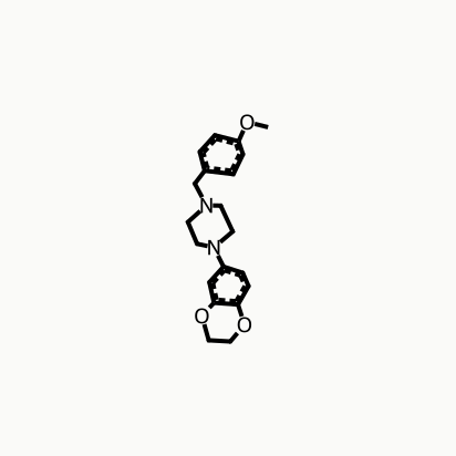 COc1ccc(CN2CCN(c3ccc4c(c3)OCCO4)CC2)cc1